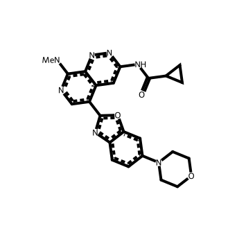 CNc1ncc(-c2nc3ccc(N4CCOCC4)cc3o2)c2cc(NC(=O)C3CC3)nnc12